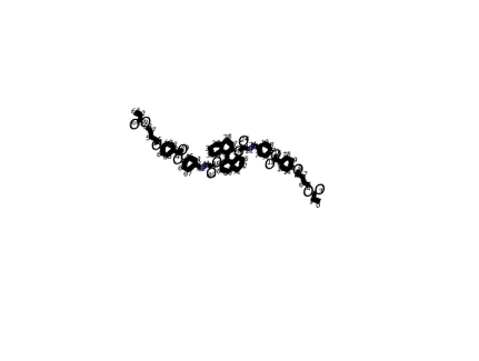 C=CC(=O)OCCCCOc1ccc(C(=O)Oc2ccc(/C=C/C(=O)Oc3ccc4ccccc4c3-c3c(OC(=O)/C=C/c4ccc(OC(=O)c5ccc(OCCCCOC(=O)C=C)cc5)cc4)ccc4ccccc34)cc2)cc1